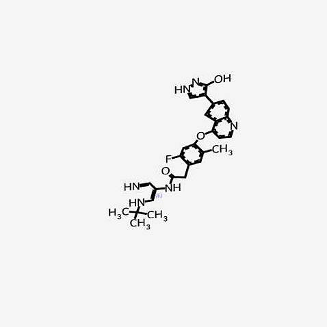 Cc1cc(CC(=O)N/C(C=N)=C/NC(C)(C)C)c(F)cc1Oc1ccnc2ccc(-c3c[nH]nc3O)cc12